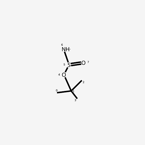 CC(C)(C)OS([NH])=O